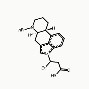 CCCN1CCC[C@@H]2c3cccc4c3c(cn4C(CC)CC(=O)S)C[C@H]21